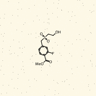 COC(=O)c1ccc(CS(=O)(=O)CCO)cc1F